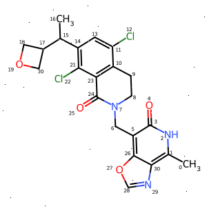 Cc1[nH]c(=O)c(CN2CCc3c(Cl)cc(C(C)C4COC4)c(Cl)c3C2=O)c2ocnc12